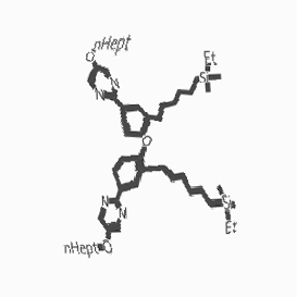 CCCCCCCOc1cnc(-c2ccc(Oc3ccc(-c4ncc(OCCCCCCC)cn4)cc3CCCCCC[Si](C)(C)CC)c(CCCCCC[Si](C)(C)CC)c2)nc1